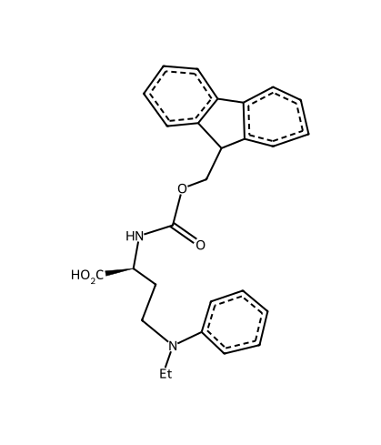 CCN(CC[C@H](NC(=O)OCC1c2ccccc2-c2ccccc21)C(=O)O)c1ccccc1